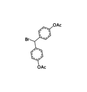 CC(=O)Oc1ccc(C(Br)c2ccc(OC(C)=O)cc2)cc1